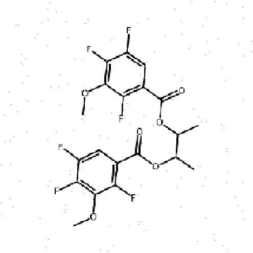 COc1c(F)c(F)cc(C(=O)OC(C)C(C)OC(=O)c2cc(F)c(F)c(OC)c2F)c1F